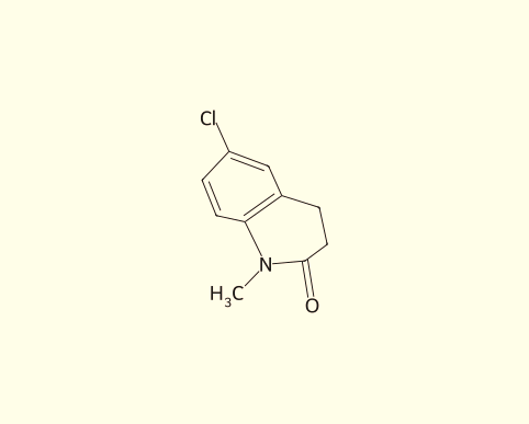 CN1C(=O)CCc2cc(Cl)ccc21